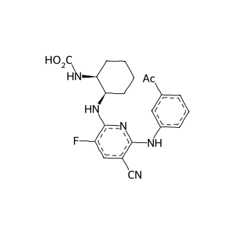 CC(=O)c1cccc(Nc2nc(N[C@@H]3CCCC[C@@H]3NC(=O)O)c(F)cc2C#N)c1